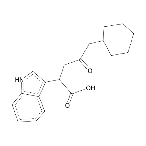 O=C(CC1CCCCC1)CC(C(=O)O)c1c[nH]c2ccccc12